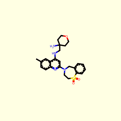 Cc1ccc2nc(N3CCS(=O)(=O)c4ccccc4C3)cc(NCC3(N)CCOCC3)c2c1